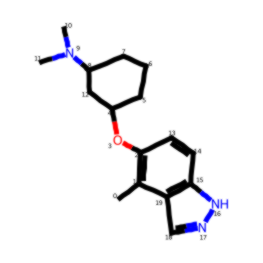 Cc1c(OC2CCCC(N(C)C)C2)ccc2[nH]ncc12